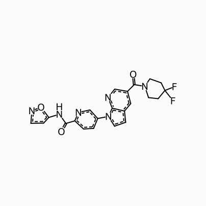 O=C(Nc1ccno1)c1ccc(-n2ccc3cc(C(=O)N4CCC(F)(F)CC4)cnc32)cn1